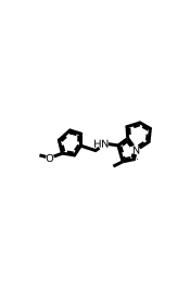 COc1cccc(CNc2c(C)[c]n3ccccc23)c1